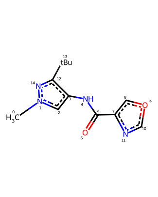 Cn1cc(NC(=O)c2cocn2)c(C(C)(C)C)n1